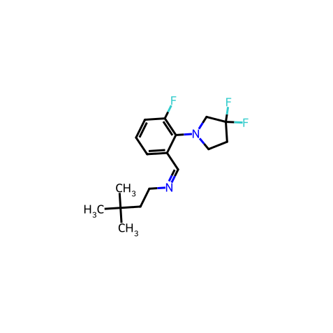 CC(C)(C)CC/N=C\c1cccc(F)c1N1CCC(F)(F)C1